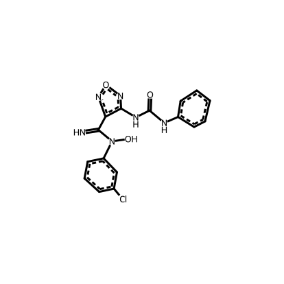 N=C(c1nonc1NC(=O)Nc1ccccc1)N(O)c1cccc(Cl)c1